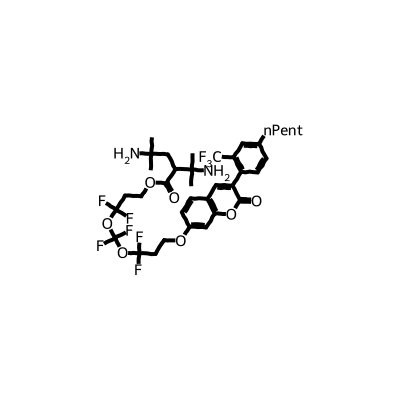 CCCCCc1ccc(-c2cc3ccc(OCCC(F)(F)OC(F)(F)OC(F)(F)CCOC(=O)C(CC(C)(C)N)C(C)(C)N)cc3oc2=O)c(C(F)(F)F)c1